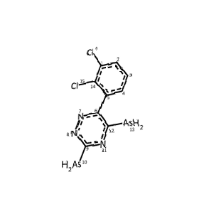 Clc1cccc(-c2nnc([AsH2])nc2[AsH2])c1Cl